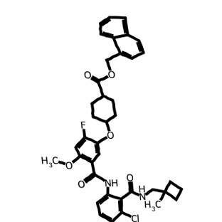 COc1cc(F)c(OC2CCC(C(=O)OCc3cccc4ccccc34)CC2)cc1C(=O)Nc1cccc(Cl)c1C(=O)NCC1(C)CCC1